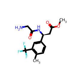 COC(=O)C[C@H](NC(=O)CN)c1ccc(C)c(C(F)(F)F)c1